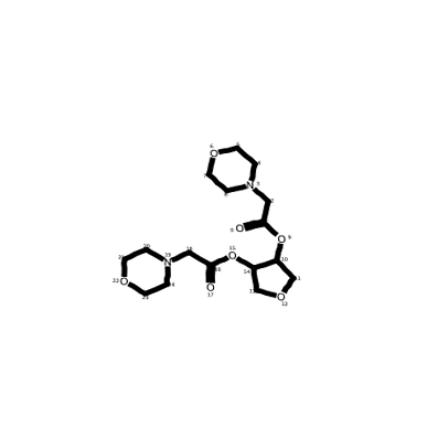 O=C(CN1CCOCC1)OC1COCC1OC(=O)CN1CCOCC1